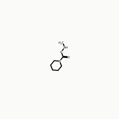 CNOC(=O)N1CCCCC1